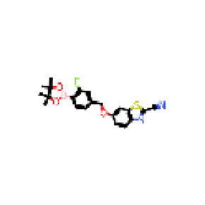 CC1(C)OB(c2ccc(COc3ccc4nc(C#N)sc4c3)cc2F)OC1(C)C